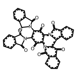 O=C1c2ccccc2C(=O)N1c1c(N2C(=O)c3ccccc3C2=O)c(=O)c2c(c1=O)n1c(=O)c3ccccc3c(=O)c1c1c3ccccc3c(=O)n21